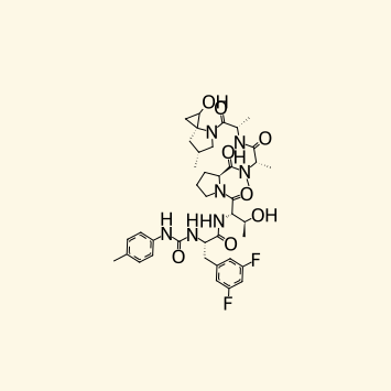 Cc1ccc(NC(=O)N[C@@H](Cc2cc(F)cc(F)c2)C(=O)N[C@H](C(=O)N2CCC[C@H]2C(=O)N(C)[C@@H](C)C(=O)N[C@@H](C)C(=O)N2C[C@H](C)C[C@@]23CC3O)[C@H](C)O)cc1